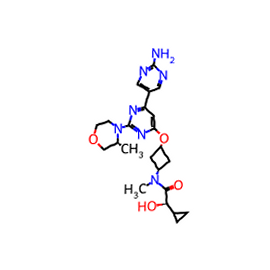 C[C@H]1COCCN1c1nc(O[C@H]2C[C@H](N(C)C(=O)[C@H](O)C3CC3)C2)cc(-c2cnc(N)nc2)n1